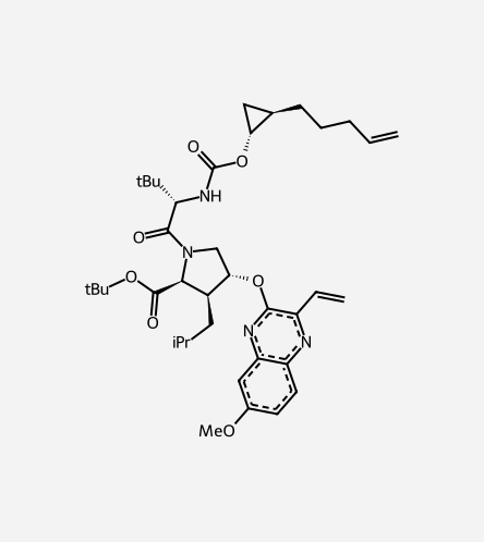 C=CCCC[C@@H]1C[C@H]1OC(=O)N[C@H](C(=O)N1C[C@H](Oc2nc3cc(OC)ccc3nc2C=C)[C@@H](CC(C)C)[C@H]1C(=O)OC(C)(C)C)C(C)(C)C